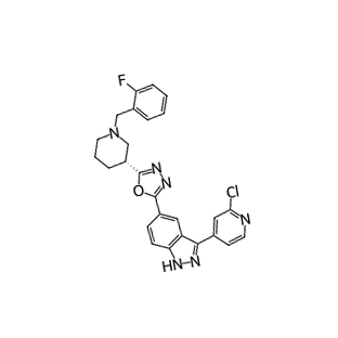 Fc1ccccc1CN1CCC[C@@H](c2nnc(-c3ccc4[nH]nc(-c5ccnc(Cl)c5)c4c3)o2)C1